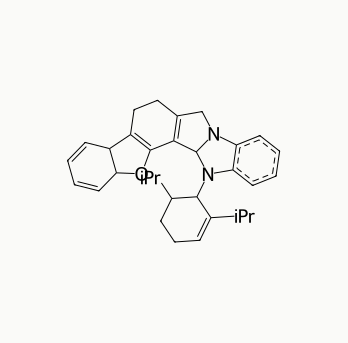 CC(C)C1=CCCC(C(C)C)C1N1c2ccccc2N2CC3=C(C4=C(CC3)C3C=CC=CC3O4)C21